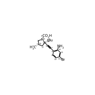 C[C@@H]1CN(C(=O)O)[C@](C#Cc2ccc(Br)cc2N)(C(C)(C)C)C1